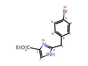 CCOC(=O)c1c[nH]c(Cc2ccc(Br)cc2)n1